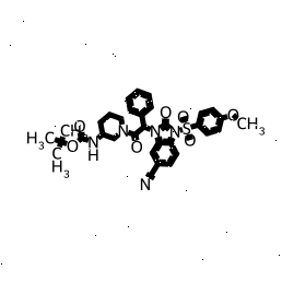 COc1ccc(S(=O)(=O)n2c(=O)n(C(C(=O)N3CCCC(NC(=O)OC(C)(C)C)C3)c3ccccc3)c3cc(C#N)ccc32)cc1